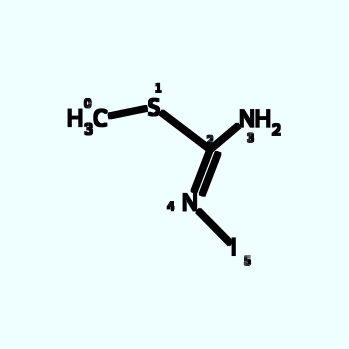 CSC(N)=NI